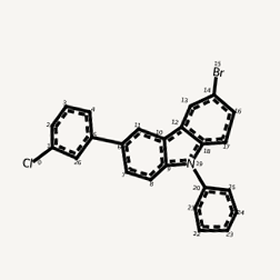 Clc1cccc(-c2ccc3c(c2)c2cc(Br)ccc2n3-c2ccccc2)c1